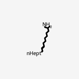 CCCCCCCC/C=C/CCCCCCC(C)CN